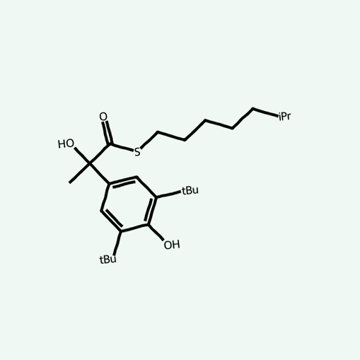 CC(C)CCCCCSC(=O)C(C)(O)c1cc(C(C)(C)C)c(O)c(C(C)(C)C)c1